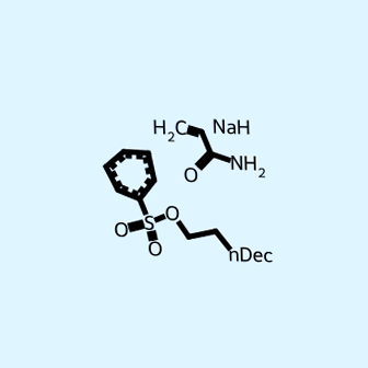 C=CC(N)=O.CCCCCCCCCCCCOS(=O)(=O)c1ccccc1.[NaH]